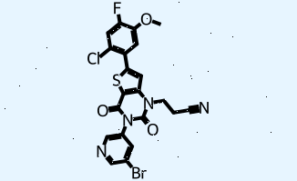 COc1cc(-c2cc3c(s2)c(=O)n(-c2cncc(Br)c2)c(=O)n3CCC#N)c(Cl)cc1F